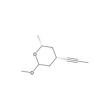 CC#C[C@@H]1CC(OC)O[C@H](C)C1